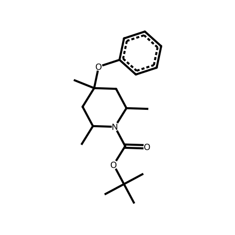 CC1CC(C)(Oc2ccccc2)CC(C)N1C(=O)OC(C)(C)C